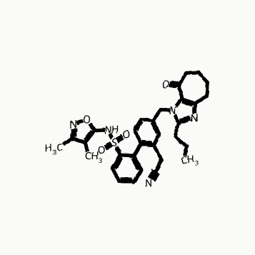 CCCc1nc2c(n1Cc1ccc(-c3ccccc3S(=O)(=O)Nc3onc(C)c3C)c(CC#N)c1)C(=O)CCCC2